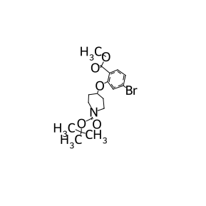 COC(=O)c1ccc(Br)cc1OC1CCN(C(=O)OC(C)(C)C)CC1